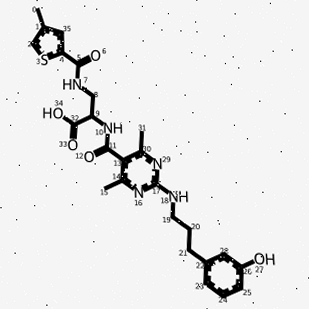 Cc1csc(C(=O)NCC(NC(=O)c2c(C)nc(NCCCc3cccc(O)c3)nc2C)C(=O)O)c1